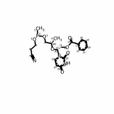 C[C@H](COP(C)OCCC#N)O[C@H](COC(=O)c1ccccc1)n1ccc(=O)[nH]c1=O